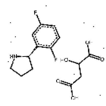 Fc1ccc(F)c([C@H]2CCCN2)c1.O=C(O)CC(O)C(=O)O